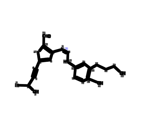 CCC(O)C#Cc1cc(/N=C\Nc2ccc(O)c(CCCO)c2)c(C=O)s1